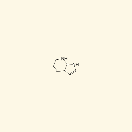 [CH]1CCNC2NC=CC12